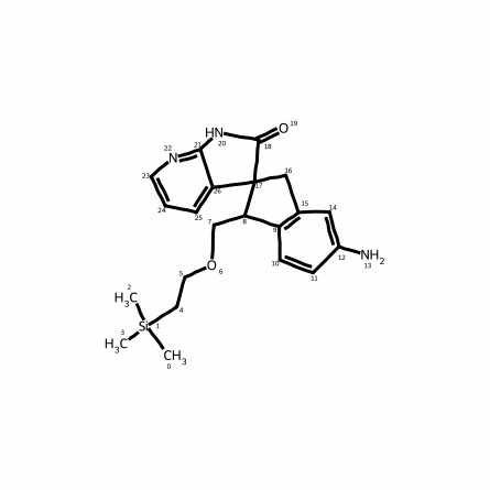 C[Si](C)(C)CCOCC1c2ccc(N)cc2CC12C(=O)Nc1ncccc12